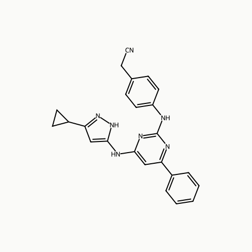 N#CCc1ccc(Nc2nc(Nc3cc(C4CC4)n[nH]3)cc(-c3ccccc3)n2)cc1